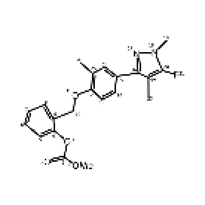 COC(=O)Oc1ccccc1COc1ccc(-c2nn(C)c(F)c2C)cc1C